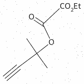 C#CC(C)(C)OC(=O)C(=O)OCC